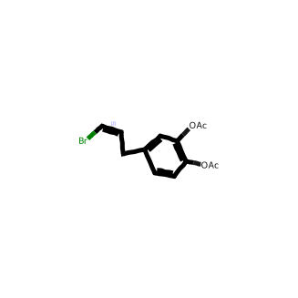 CC(=O)Oc1ccc(C/C=C\Br)cc1OC(C)=O